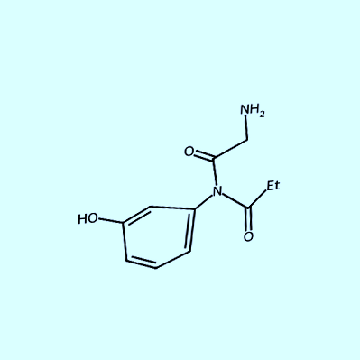 CCC(=O)N(C(=O)CN)c1cccc(O)c1